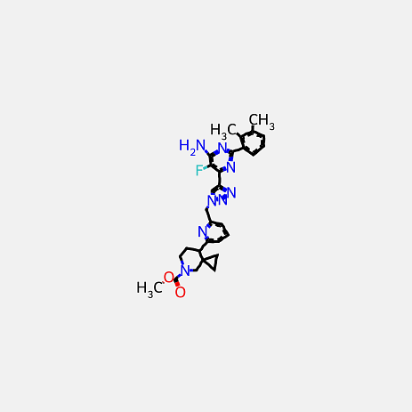 COC(=O)N1CCC(c2cccc(Cn3cc(-c4nc(-c5cccc(C)c5C)nc(N)c4F)nn3)n2)C2(CC2)C1